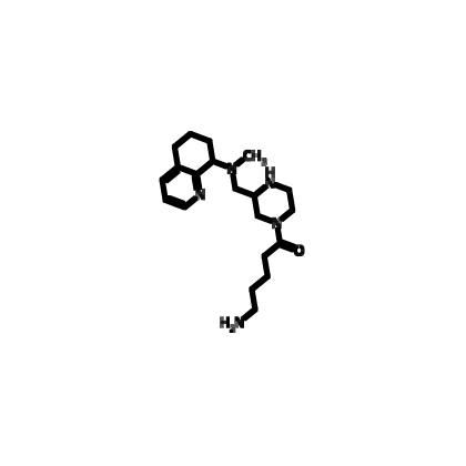 CN(CC1CN(C(=O)CCCCN)CCN1)C1CCCc2cccnc21